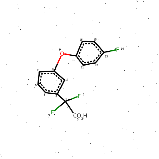 O=C(O)C(F)(F)c1cccc(Oc2ccc(F)cc2)c1